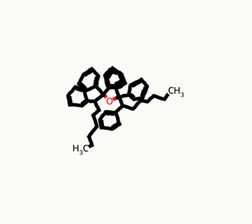 CCCCCCC(c1ccccc1)C(OC(c1ccccc1)(c1ccccc1)C(CCCCCC)c1ccccc1)(c1ccccc1)c1ccccc1